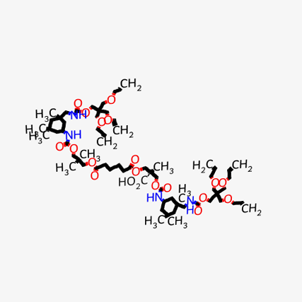 C=CCOCC(COC=C)(COCC=C)COC(=O)NCC1(C)CC(NC(=O)OCC(C)(C)COC(=O)CCCCC(=O)OC[C@@](C)(COC(=O)NC2CC(C)(C)CC(C)(CNC(=O)OCC(COCC=C)(COCC=C)COCC=C)C2)C(=O)O)CC(C)(C)C1